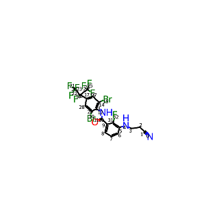 N#CCCNc1cccc(C(=O)Nc2c(Br)cc(C(F)(C(F)(F)F)C(F)(F)F)cc2Br)c1F